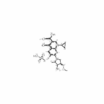 CON=C1CN(c2nc3c(cc2F)c(=O)c(C(=O)O)cn3C2CC2)C(C)C1N.CS(=O)(=O)O